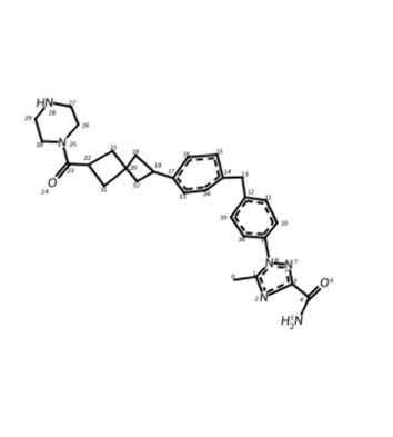 Cc1nc(C(N)=O)nn1-c1ccc(Cc2ccc(C3CC4(CC(C(=O)N5CCNCC5)C4)C3)cc2)cc1